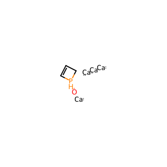 O=[PH]1C=CC1.[Ca].[Ca].[Ca].[Ca]